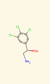 NC[C@H](O)c1cc(Cl)c(Cl)c(Cl)c1